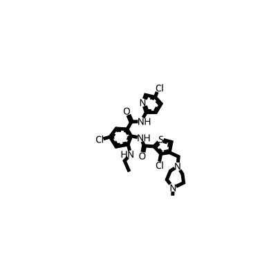 CCNc1cc(Cl)cc(C(=O)Nc2ccc(Cl)cn2)c1NC(=O)c1scc(CN2CCN(C)CC2)c1Cl